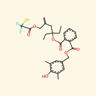 C=C(COC(=O)C(F)(F)S)CC(CC)(CC)OC(=O)c1ccccc1C(=O)OCc1cc(C)c(O)c(C)c1